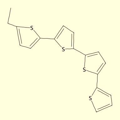 CCc1ccc(-c2ccc(-c3ccc(-c4cccs4)s3)s2)s1